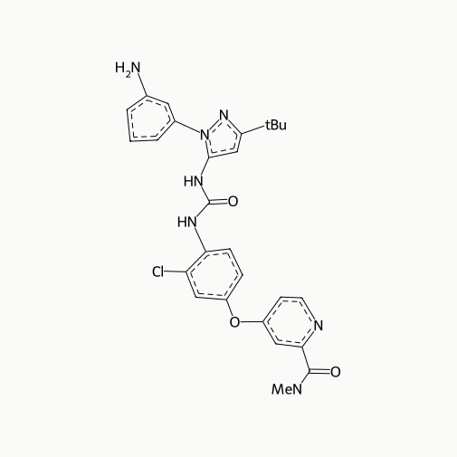 CNC(=O)c1cc(Oc2ccc(NC(=O)Nc3cc(C(C)(C)C)nn3-c3cccc(N)c3)c(Cl)c2)ccn1